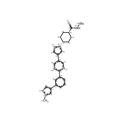 Cn1cc(-c2cccc(-c3ncc(-c4cnn([C@H]5CC[C@H](C(=O)NC(C)(C)C)CC5)c4)cn3)c2)cn1